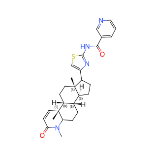 CN1C(=O)C=C[C@@]2(C)C1CC[C@@H]1[C@H]2CC[C@]2(C)C(c3csc(NC(=O)c4cccnc4)n3)CC[C@@H]12